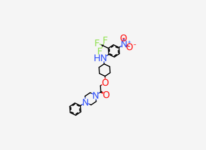 O=C(COC1CCC(Nc2ccc([N+](=O)[O-])cc2C(F)(F)F)CC1)N1CCN(c2ccccc2)CC1